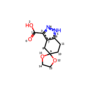 O=C(O)c1n[nH]c2c1CC1(CC2)OCCO1